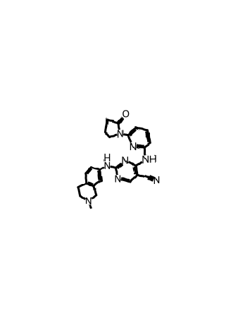 CN1CCc2ccc(Nc3ncc(C#N)c(Nc4cccc(N5CCCC5=O)n4)n3)cc2C1